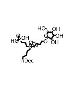 CCCCCCCCCCCCCC[N+](C)(CCCCO[C@@H]1O[C@H](CO)[C@@H](O)[C@H](O)[C@H]1O)CCCP(=O)(O)O